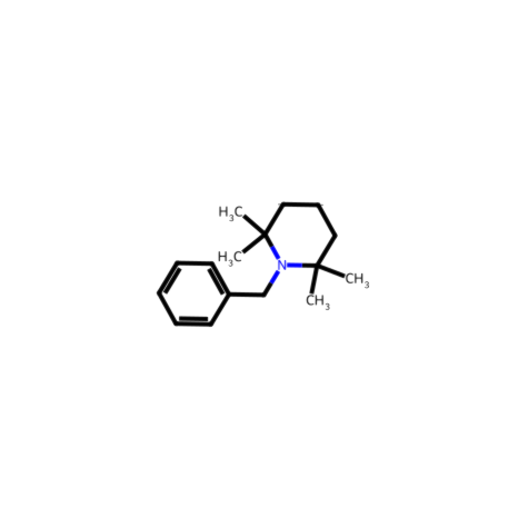 CC1(C)[CH][CH]CC(C)(C)N1Cc1ccccc1